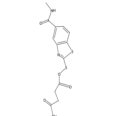 CNC(=O)c1ccc2sc(SOC(=O)CCC(=O)O)nc2c1